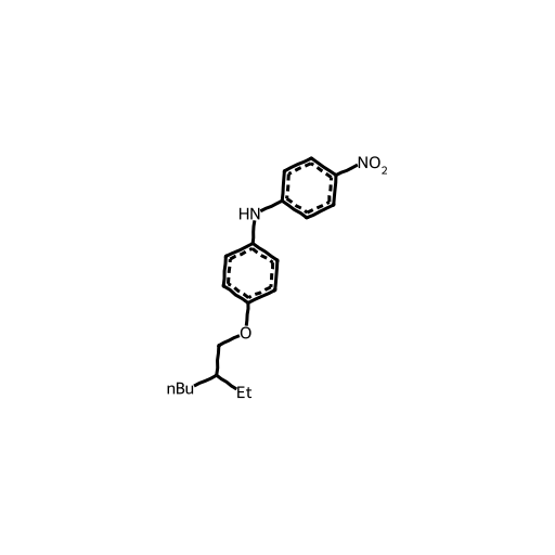 CCCCC(CC)COc1ccc(Nc2ccc([N+](=O)[O-])cc2)cc1